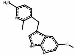 COc1cnc2[nH]cc(Cc3ccc(N)nc3C)c2c1